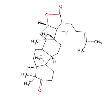 CC(C)=CCC[C@H]1C(=O)O[C@H]2C[C@]3(C)C4=CC[C@H]5C(C)(C)C(=O)CC[C@]5(C)[C@H]4CC[C@@]3(C)[C@@H]21